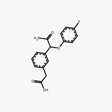 NC(=O)C(Oc1ccc(F)cc1)c1cccc(CC(=O)O)c1